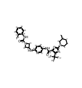 CC1CCCN(c2nc(C(F)(F)F)c(C(=O)Nc3ccc(NC4CN(C(=O)Nc5ccccc5F)C4)nc3)o2)C1